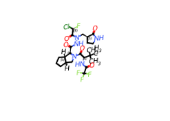 CC(C)(C)[C@H](NC(=O)C(F)(F)F)C(=O)N1C[C@@H]2CCC[C@@H]2[C@H]1C(=O)NN(C[C@@H]1CCNC1=O)C(=O)[C@H](F)Cl